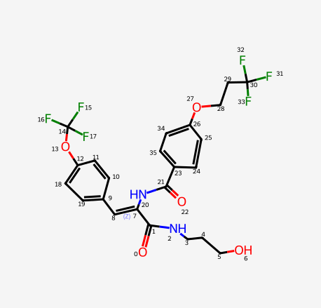 O=C(NCCCO)/C(=C/c1ccc(OC(F)(F)F)cc1)NC(=O)c1ccc(OCCC(F)(F)F)cc1